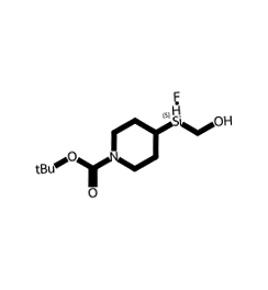 CC(C)(C)OC(=O)N1CCC([Si@H](F)CO)CC1